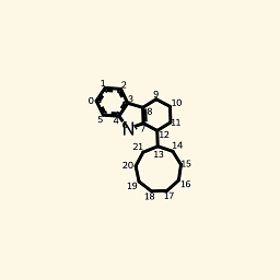 c1ccc2c(c1)[N]C1=C2CCCC1C1CCCCCCCC1